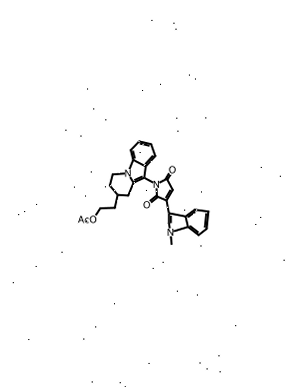 CC(=O)OCCC1CCn2c(c(N3C(=O)C=C(c4cn(C)c5ccccc45)C3=O)c3ccccc32)C1